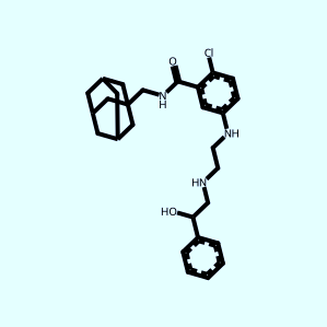 O=C(NCC12CC3CC(CC(C3)C1)C2)c1cc(NCCNCC(O)c2ccccc2)ccc1Cl